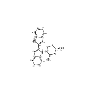 CCC1CC(O)CCN1n1c(-c2cc3cccnc3[nH]2)cc2ccccc21